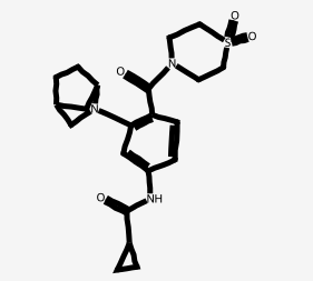 O=C(Nc1ccc(C(=O)N2CCS(=O)(=O)CC2)c(N2CC3CCC2C3)c1)C1CC1